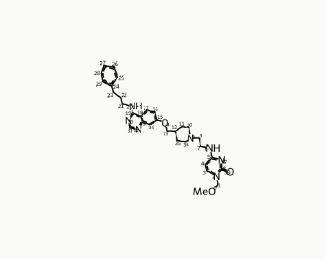 COCn1ccc(NCCN2CCC(COc3ccc4c(NCCCc5ccccc5)ncnc4c3)CC2)nc1=O